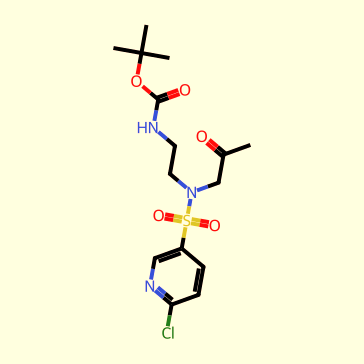 CC(=O)CN(CCNC(=O)OC(C)(C)C)S(=O)(=O)c1ccc(Cl)nc1